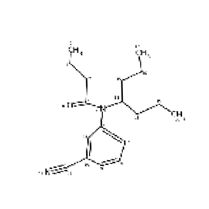 CCCC(=O)N(c1cccc(C#N)c1)C(CCC)CCC